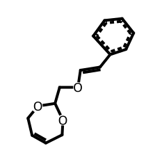 C1=CCOC(COC=Cc2ccccc2)OC1